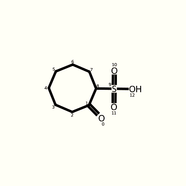 O=C1CCCCCCC1S(=O)(=O)O